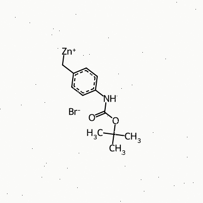 CC(C)(C)OC(=O)Nc1ccc([CH2][Zn+])cc1.[Br-]